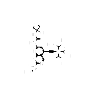 CC(C)[Si](C#Cc1cc(NC(=O)NC2(C)COC2)nc2nc(S(C)(=O)=O)ncc12)(C(C)C)C(C)C